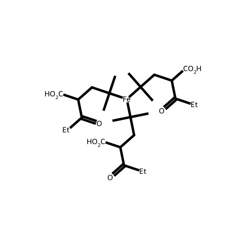 CCC(=O)C(C[C](C)(C)[Fe]([C](C)(C)CC(C(=O)O)C(=O)CC)[C](C)(C)CC(C(=O)O)C(=O)CC)C(=O)O